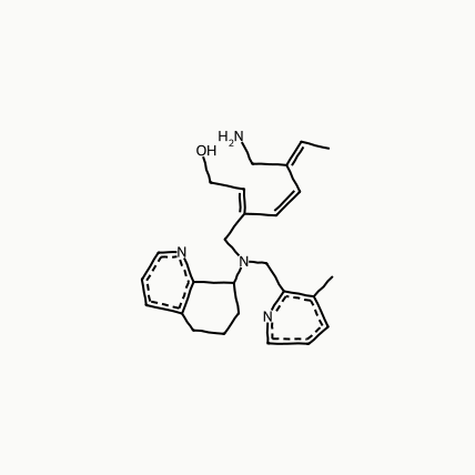 C\C=C(/C=C\C(=C\CO)CN(Cc1ncccc1C)C1CCCc2cccnc21)CN